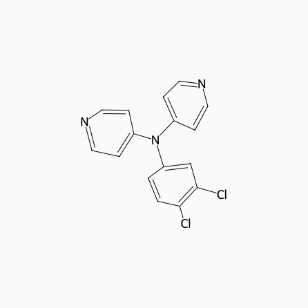 Clc1ccc(N(c2ccncc2)c2ccncc2)cc1Cl